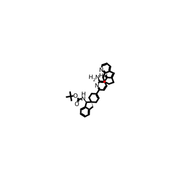 CC(C)(C)OC(=O)N[C@@H]1c2ccccc2C[C@]12CC=C(c1ccc(C(=N)/C3=C\c4cccnc4CCCC3)c(N)n1)CC2